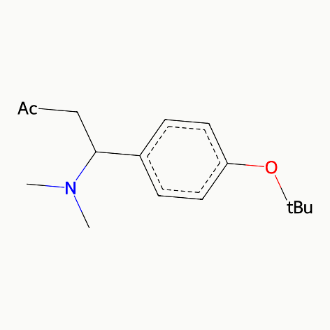 CC(=O)CC(c1ccc(OC(C)(C)C)cc1)N(C)C